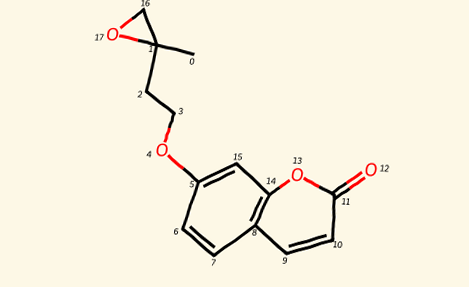 CC1(CCOc2ccc3ccc(=O)oc3c2)CO1